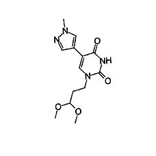 COC(CCn1cc(-c2cnn(C)c2)c(=O)[nH]c1=O)OC